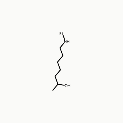 CCNCCCCCC(C)O